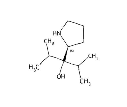 CC(C)C(O)(C(C)C)[C@@H]1CCCN1